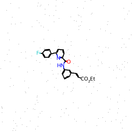 CCOC(=O)C=Cc1cccc(NC(=O)c2cccc(-c3ccc(F)cc3)n2)c1